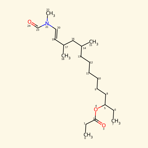 CCC(=O)OC(CC)CCCCCCC(C)CC(C)/C=C/N(C)C=O